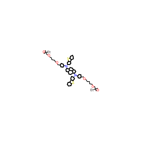 CCC1(COCCCCCOCc2ccc(N(c3ccc4c(c3)sc3ccccc34)c3ccc4ccc5c(N(c6ccc(COCCCCCOCC7(CC)COC7)cc6)c6ccc7c(c6)sc6ccccc67)ccc6ccc3c4c65)cc2)COC1